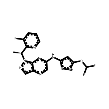 C[C@@H](c1ncccc1F)n1ncc2ncc(Nc3cc(OC(F)F)[nH]n3)nc21